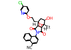 CC[C@@]12O[C@@](CCOc3ccc(Cl)cn3)(C[C@H]1O)[C@@H]1C(=O)N(c3ccc(C#N)c4ccccc34)C(=O)[C@@H]12